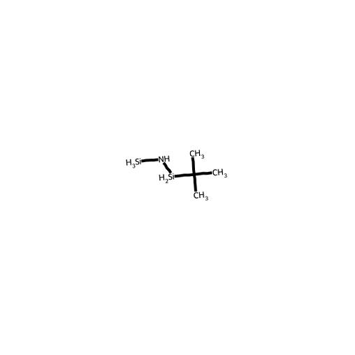 CC(C)(C)[SiH2]N[SiH3]